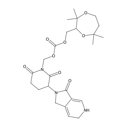 CC1(C)CCOC(C)(C)C(COC(=O)OCN2C(=O)CCC(N3CC4=CCNC=C4C3=O)C2=O)O1